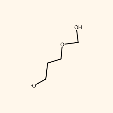 [O]CCCOCO